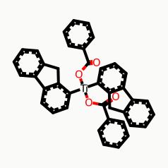 O=C([O][Ti]([O]C(=O)c1ccccc1)([c]1cccc2c1Cc1ccccc1-2)[c]1cccc2c1Cc1ccccc1-2)c1ccccc1